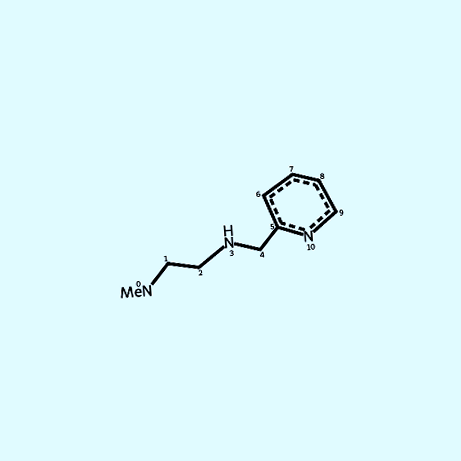 CNCCNCc1ccccn1